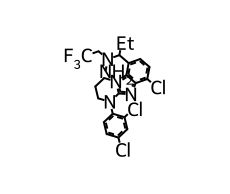 CCC(c1ccc(Cl)c2nc3n(c12)CCCN3c1ccc(Cl)cc1Cl)N(N)CC(F)(F)F